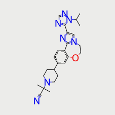 CC(C)n1ncnc1-c1cn2c(n1)-c1ccc(C3CCN(C(C)(C)C#N)CC3)cc1OCC2